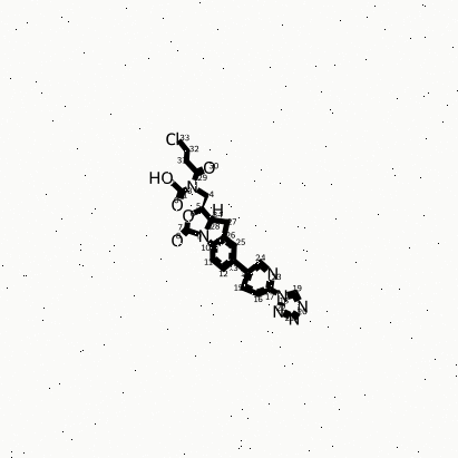 O=C(O)N(C[C@@H]1OC(=O)N2c3ccc(-c4ccc(-n5cnnn5)nc4)cc3C[C@@H]12)C(=O)CCCl